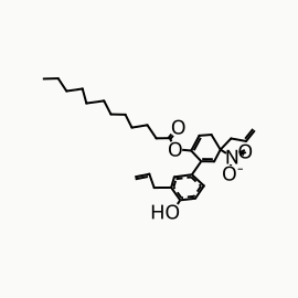 C=CCc1cc(C2=CC(CC=C)([N+](=O)[O-])CC=C2OC(=O)CCCCCCCCCCC)ccc1O